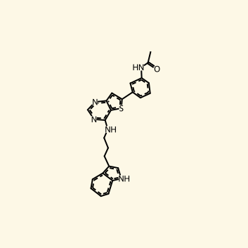 CC(=O)Nc1cccc(-c2cc3ncnc(NCCCc4c[nH]c5ccccc45)c3s2)c1